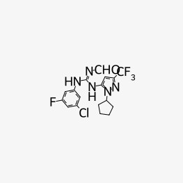 O=C/N=C(/Nc1cc(F)cc(Cl)c1)Nc1cc(C(F)(F)F)nn1C1CCCC1